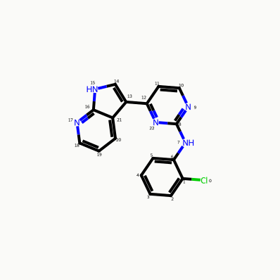 Clc1ccccc1Nc1nccc(-c2c[nH]c3ncccc23)n1